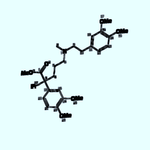 COC(=O)C(CCCN(C)CCc1ccc(OC)c(OC)c1)(c1ccc(OC)c(OC)c1)C(C)C